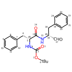 CC(C)(C)OC(=O)N[C@H](Cc1ccccc1)C(=O)N[C@@H](C=O)Cc1ccccc1